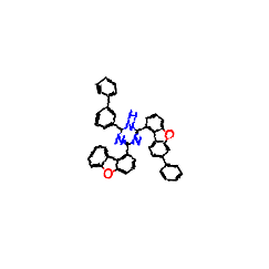 c1ccc(-c2cccc(C3N=C(c4cccc5oc6ccccc6c45)N=C(c4cccc5oc6cc(-c7ccccc7)ccc6c45)N3)c2)cc1